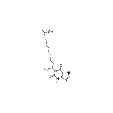 CC(O)CCCCCCCCC(O)n1c(=O)c2[nH]cnc2n(C)c1=O